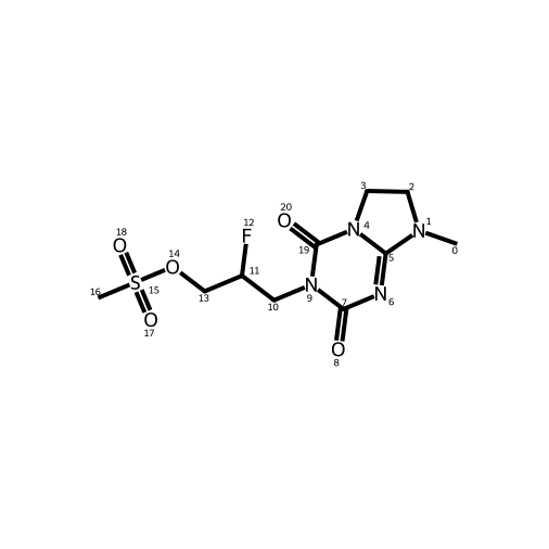 CN1CCn2c1nc(=O)n(CC(F)COS(C)(=O)=O)c2=O